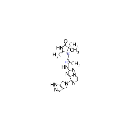 C=C1NC(=O)C(C)(C)/C1=C/C=C(\C)Nc1nc2c(N3Cc4cn[nH]c4C3)nccn2n1